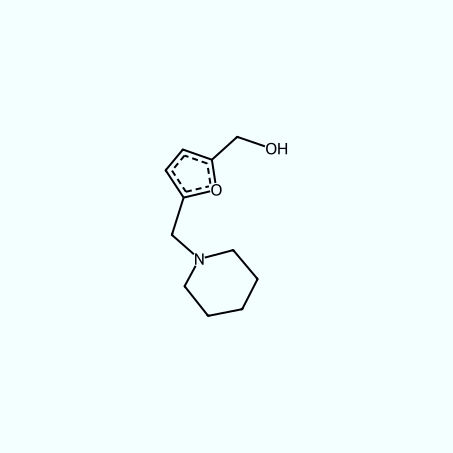 OCc1ccc(CN2CCCCC2)o1